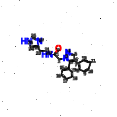 O=C(Cn1ncc(-c2ccccc2)c1-c1ccccc1)NCCc1c[nH]cn1